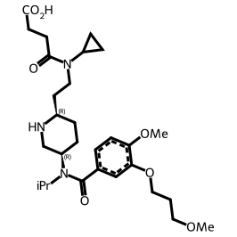 COCCCOc1cc(C(=O)N(C(C)C)[C@@H]2CC[C@H](CCN(C(=O)CCC(=O)O)C3CC3)NC2)ccc1OC